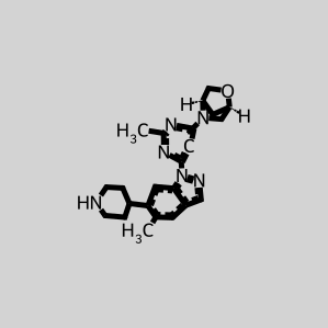 Cc1nc(N2C[C@H]3C[C@@H]2CO3)cc(-n2ncc3cc(C)c(C4CCNCC4)cc32)n1